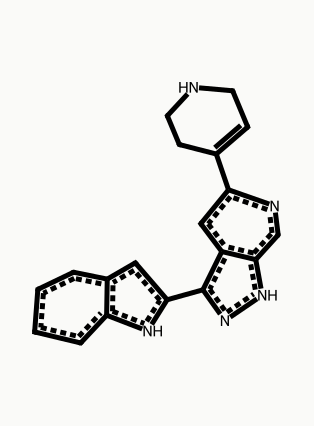 C1=C(c2cc3c(-c4cc5ccccc5[nH]4)n[nH]c3cn2)CCNC1